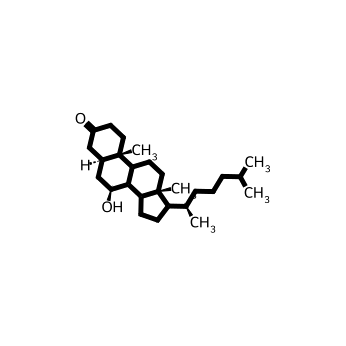 CC(C)CCC[C@@H](C)C1CCC2C3C(CC[C@@]21C)[C@@]1(C)CCC(=O)C[C@@H]1C[C@@H]3O